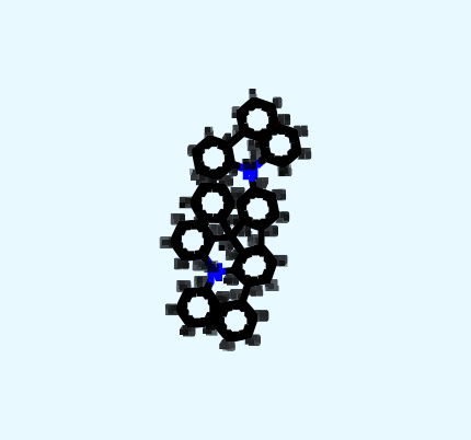 c1ccc(-c2ccccc2N(c2ccccc2)c2ccc3c(c2)C2(c4ccccc4)c4ccccc4N(c4ccccc4)c4c(-c5ccccc5)ccc-3c42)cc1